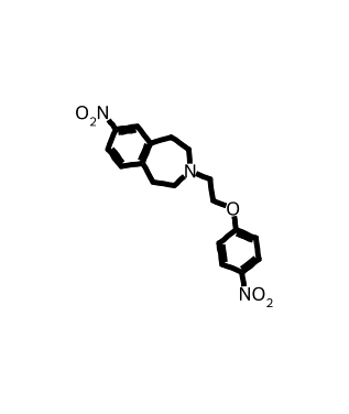 O=[N+]([O-])c1ccc(OCCN2CCc3ccc([N+](=O)[O-])cc3CC2)cc1